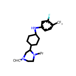 CC(C)N1CCN(C=O)CC1C1CCC(Nc2ccc(C(F)(F)F)c(F)c2)CC1